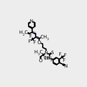 C=C/C(=C\C(=C(/C)OCCCN(C(=S)Nc1ccc(C#N)c(C(F)(F)F)c1)C(C)(C)C=O)C(F)(F)F)c1ccncc1